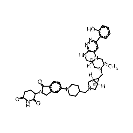 C[C@H]1CN2c3cc(-c4ccccc4O)nnc3NC[C@H]2CN1CC1[C@H]2CN(CC3CCN(c4ccc5c(c4)CN(C4CCC(=O)NC4=O)C5=O)CC3)C[C@@H]12